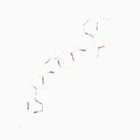 CC(C)c1ccc(N(C)C)cc1N1C(=O)CS/C1=N\C(=O)Nc1ccc(-c2nc(-c3ccc(OC(F)(F)F)cc3)no2)cc1F